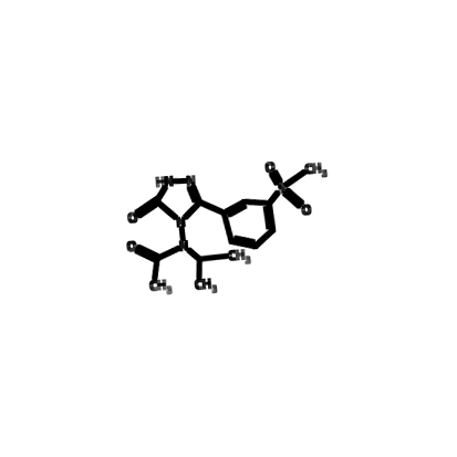 CC(=O)N(C(C)C)n1c(-c2cccc(S(C)(=O)=O)c2)n[nH]c1=O